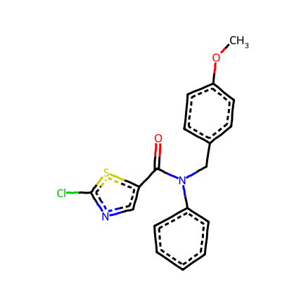 COc1ccc(CN(C(=O)c2cnc(Cl)s2)c2ccccc2)cc1